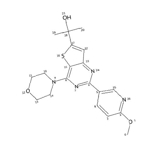 COc1ccc(-c2nc(N3CCOCC3)c3sc(C(C)(C)O)cc3n2)cn1